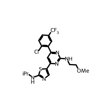 COCCNc1nc(-c2cnc(NC(C)C)s2)cc(-c2cc(C(F)(F)F)ccc2Cl)n1